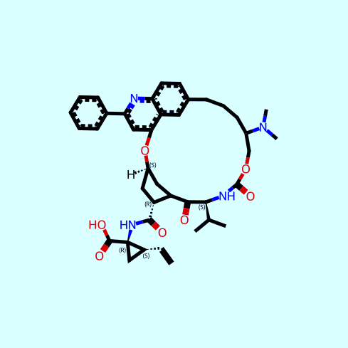 C=C[C@@H]1C[C@]1(NC(=O)[C@@H]1C[C@@H]2CC1C(=O)[C@H](C(C)C)NC(=O)OCC(N(C)C)CCCc1ccc3nc(-c4ccccc4)cc(c3c1)O2)C(=O)O